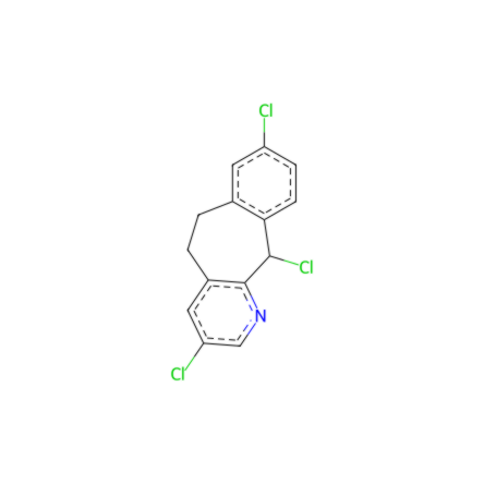 Clc1ccc2c(c1)CCc1cc(Cl)cnc1C2Cl